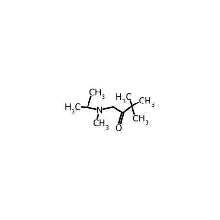 CC(C)N(C)CC(=O)C(C)(C)C